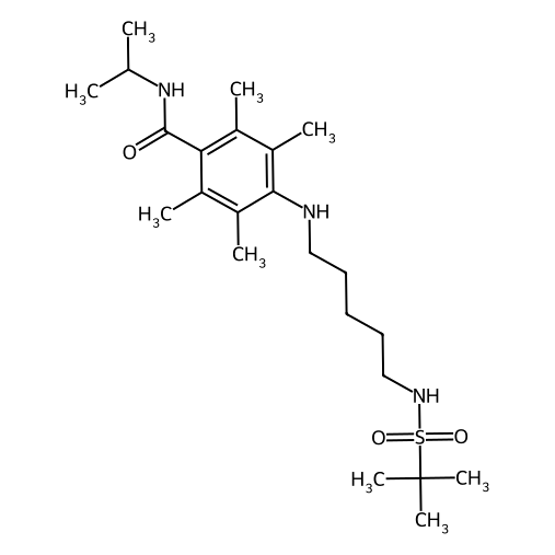 Cc1c(C)c(C(=O)NC(C)C)c(C)c(C)c1NCCCCCNS(=O)(=O)C(C)(C)C